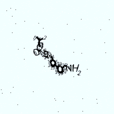 CC(C)COC(=O)N1CCN(Cc2cccc(-c3cccc(CN)c3)c2)CC1